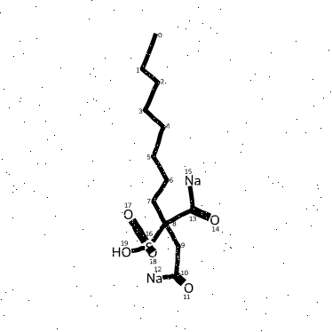 CCCCCCCCC(C[C](=O)[Na])([C](=O)[Na])S(=O)(=O)O